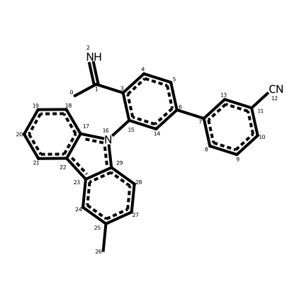 CC(=N)c1ccc(-c2cccc(C#N)c2)cc1-n1c2ccccc2c2cc(C)ccc21